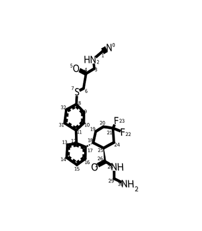 N#CNCC(=O)CSc1ccc(-c2ccccc2[C@@H]2CCC(F)(F)C[C@H]2C(=O)NCN)cc1